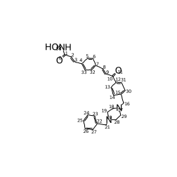 O=C(C=Cc1ccc(C=CC(=O)c2ccc(CN3CCN(Cc4ccccc4)CC3)cc2)cc1)NO